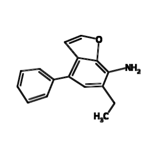 CCc1cc(-c2ccccc2)c2ccoc2c1N